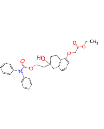 CCOC(=O)COc1cccc2c1CCC(O)(CCOC(=O)N(c1ccccc1)c1ccccc1)C2